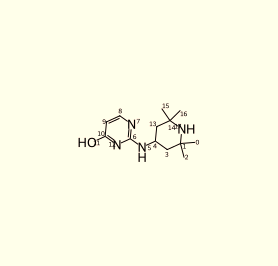 CC1(C)CC(Nc2nccc(O)n2)CC(C)(C)N1